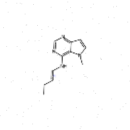 CC/C=C/Nc1ncnc2ccn(C)c12